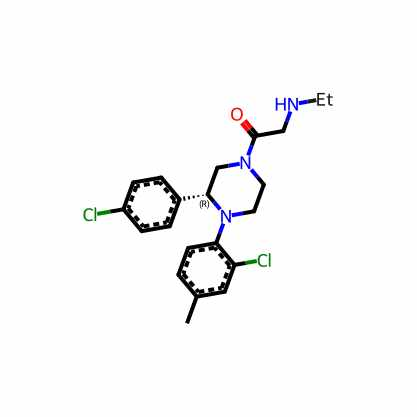 CCNCC(=O)N1CCN(c2ccc(C)cc2Cl)[C@H](c2ccc(Cl)cc2)C1